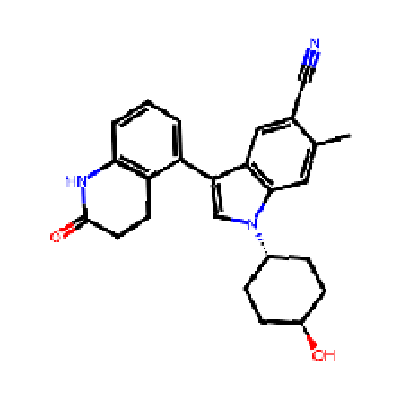 Cc1cc2c(cc1C#N)c(-c1cccc3c1CCC(=O)N3)cn2[C@H]1CC[C@H](O)CC1